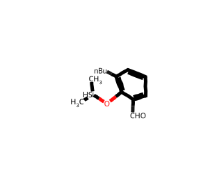 CCCCc1cccc(C=O)c1O[SiH](C)C